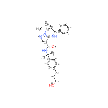 CCC(CC)(NC(=O)c1cnn2c1NC(c1ccccc1)CC2(C)C)c1ccc(CCCO)cc1